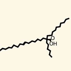 CCCCCCCCC=CCCCCCCC(CCCCCC)(CCCCCCCCCC)C(=O)O